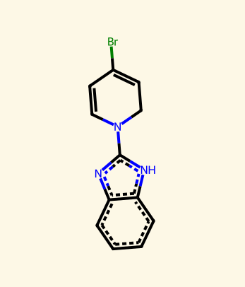 BrC1=CCN(c2nc3ccccc3[nH]2)C=C1